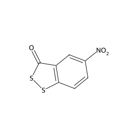 O=c1ssc2ccc([N+](=O)[O-])cc12